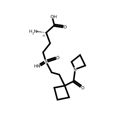 N=S(=O)(CC[C@H](N)C(=O)O)CCC1(C(=O)N2CCC2)CCC1